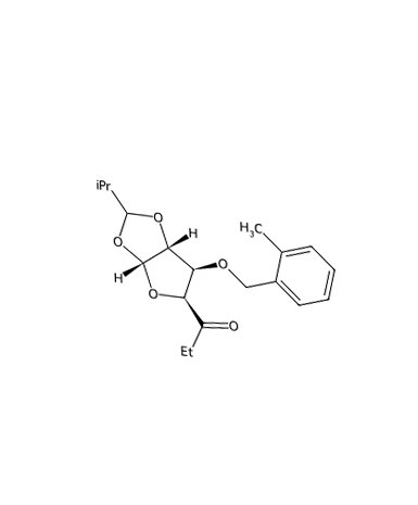 CCC(=O)[C@H]1O[C@@H]2OC(C(C)C)O[C@@H]2[C@H]1OCc1ccccc1C